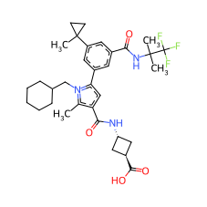 Cc1c(C(=O)N[C@H]2C[C@H](C(=O)O)C2)cc(-c2cc(C(=O)NC(C)(C)C(F)(F)F)cc(C3(C)CC3)c2)n1CC1CCCCC1